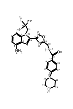 Nc1cccc2c1cc(-c1noc(CNC(=O)c3ccc(N4CCOCC4)cc3)n1)n2CC(F)(F)F